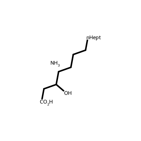 CCCCCCCCCCCC(O)CC(=O)O.N